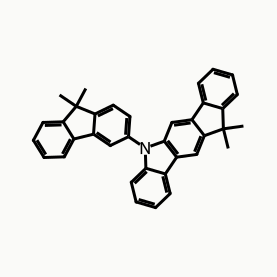 CC1(C)c2ccccc2-c2cc(-n3c4ccccc4c4cc5c(cc43)-c3ccccc3C5(C)C)ccc21